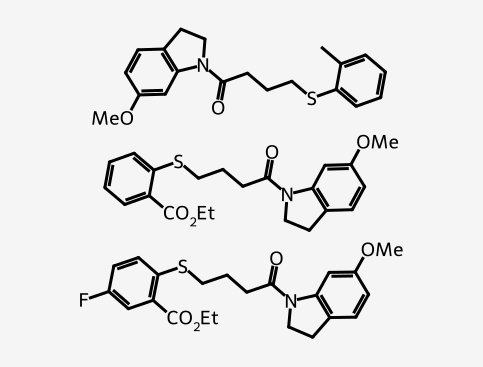 CCOC(=O)c1cc(F)ccc1SCCCC(=O)N1CCc2ccc(OC)cc21.CCOC(=O)c1ccccc1SCCCC(=O)N1CCc2ccc(OC)cc21.COc1ccc2c(c1)N(C(=O)CCCSc1ccccc1C)CC2